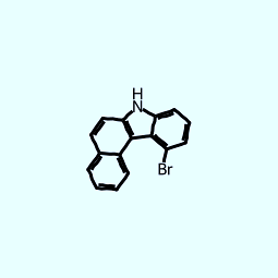 Brc1cccc2[nH]c3ccc4ccccc4c3c12